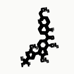 CCc1ccc2c(F)c(C(=O)N3CCc4c(nn(C)c4-c4cc(C(F)(F)F)nn4C)[C@@H]3C)ccc2n1